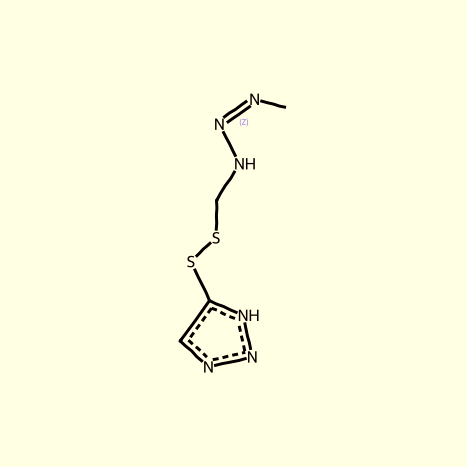 C/N=N\NCSSc1cnn[nH]1